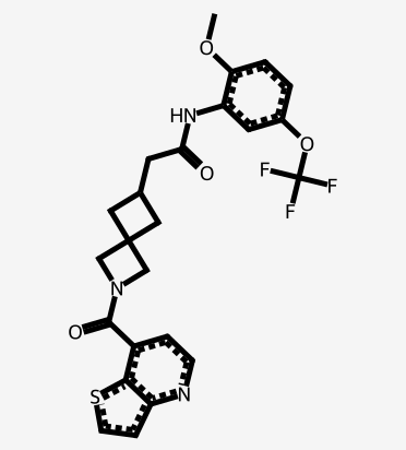 COc1ccc(OC(F)(F)F)cc1NC(=O)CC1CC2(C1)CN(C(=O)c1ccnc3ccsc13)C2